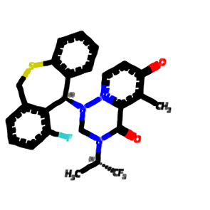 Cc1c2n(ccc1=O)N([C@@H]1c3ccccc3SCc3cccc(F)c31)CN([C@@H](C)C(F)(F)F)C2=O